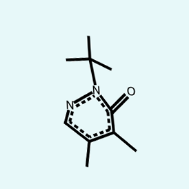 Cc1cnn(C(C)(C)C)c(=O)c1C